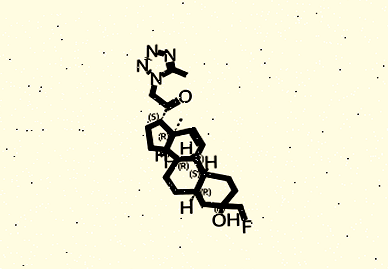 Cc1nnnn1CC(=O)[C@H]1CC[C@H]2[C@@H]3CC[C@@H]4C[C@@](O)(CF)CC[C@@H]4[C@H]3C=C[C@]12C